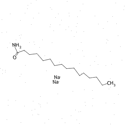 CCCCCCCCCCCCCCCC(N)=O.[Na].[Na]